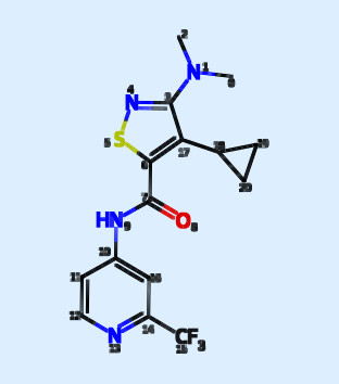 CN(C)c1nsc(C(=O)Nc2ccnc(C(F)(F)F)c2)c1C1CC1